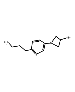 CC(C)C1CN(c2ccc(CCCN)nc2)C1